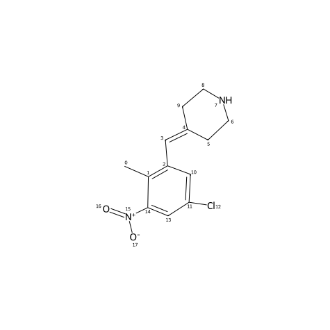 Cc1c(C=C2CCNCC2)cc(Cl)cc1[N+](=O)[O-]